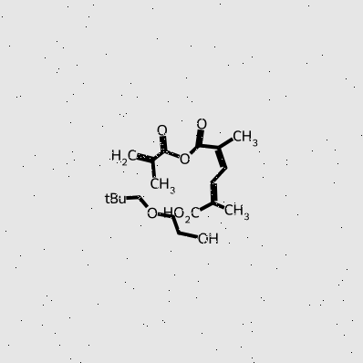 C=C(C)C(=O)OC(=O)C(C)=CC=C(C)C(=O)O.CC(C)(C)COCCO